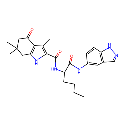 CCCCC(NC(=O)c1[nH]c2c(c1C)C(=O)CC(C)(C)C2)C(=O)Nc1ccc2[nH]ncc2c1